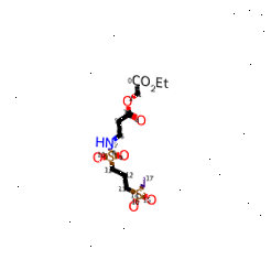 CCOC(=O)COC(=O)CCNS(=O)(=O)CCCS(=O)(=O)I